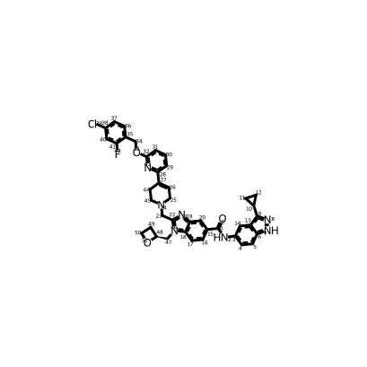 O=C(Nc1ccc2[nH]nc(C3CC3)c2c1)c1ccc2c(c1)nc(CN1CC=C(c3cccc(OCc4ccc(Cl)cc4F)n3)CC1)n2C[C@@H]1CCO1